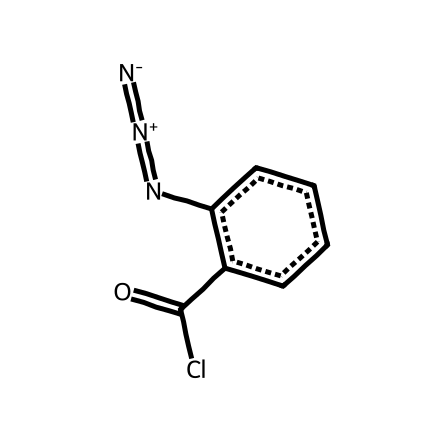 [N-]=[N+]=Nc1ccccc1C(=O)Cl